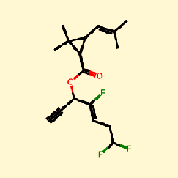 C#CC(OC(=O)C1C(C=C(C)C)C1(C)C)C(F)=CCC(F)F